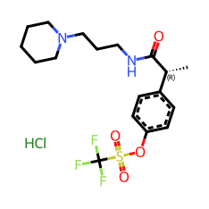 C[C@@H](C(=O)NCCCN1CCCCC1)c1ccc(OS(=O)(=O)C(F)(F)F)cc1.Cl